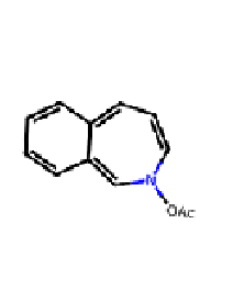 CC(=O)ON1C=CC=c2ccccc2=C1